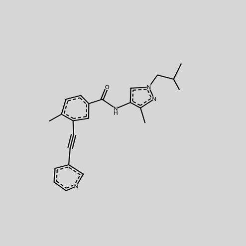 Cc1ccc(C(=O)Nc2cn(CC(C)C)nc2C)cc1C#Cc1cccnc1